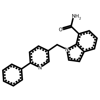 NC(=O)c1cccc2ccn(Cc3ccc(-c4ccccc4)nc3)c12